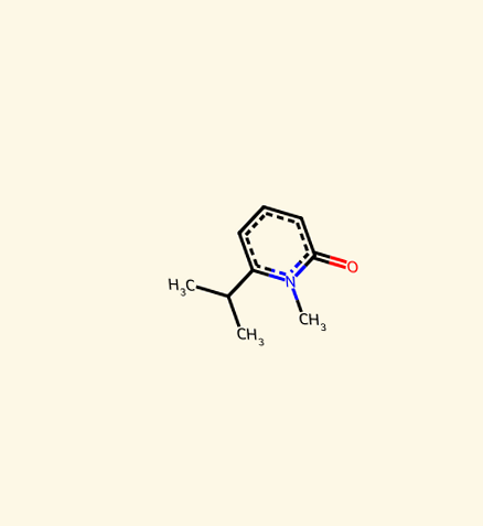 CC(C)c1cccc(=O)n1C